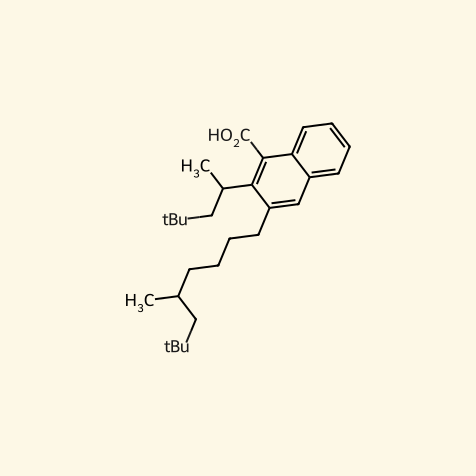 CC(CCCCc1cc2ccccc2c(C(=O)O)c1C(C)CC(C)(C)C)CC(C)(C)C